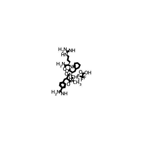 CN(C)C(=O)C(Cc1ccc(C(=N)N)cc1)C(=O)NC(CC1CCCCC1)C(=O)N[C@H](CCCNC(=N)N)C(N)=O.O=C(O)C(F)(F)F